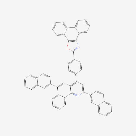 c1ccc2cc(-c3cc(-c4ccc(-c5nc6c7ccccc7c7ccccc7c6o5)cc4)c4cc(-c5ccc6ccccc6c5)c5ccccc5c4n3)ccc2c1